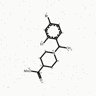 CCc1cc(Br)ccc1C(C)N1CCC(C(=O)OC)CC1